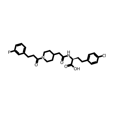 O=C(CC1CCN(C(=O)CCc2cccc(F)c2)CC1)N[C@@H](CCc1ccc(Cl)cc1)C(=O)O